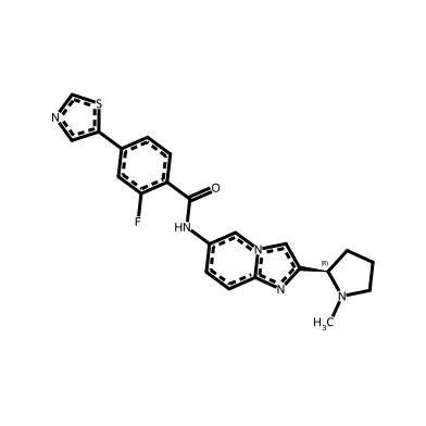 CN1CCC[C@@H]1c1cn2cc(NC(=O)c3ccc(-c4cncs4)cc3F)ccc2n1